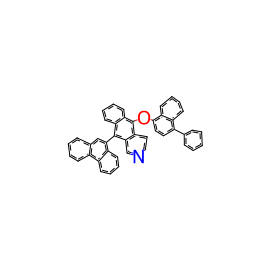 c1ccc(-c2ccc(Oc3c4ccccc4c(-c4cc5ccccc5c5ccccc45)c4cnccc34)c3ccccc23)cc1